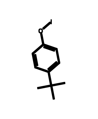 CC(C)(C)c1ccc(OI)cc1